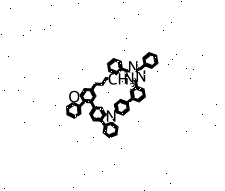 CCCCc1cc(-c2ccc3c4ccccc4n(-c4ccc(-c5cccc(-c6nc(-c7ccccc7)nc(-c7ccccc7)n6)c5)cc4)c3c2)c2c(c1)oc1ccccc12